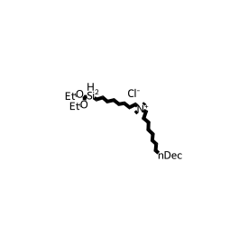 CCCCCCCCCCCCCCCCCC[N+](C)(C)CCCCCCCC[SiH2]C(OCC)OCC.[Cl-]